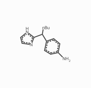 CCCCC(c1ccc(N)cc1)c1ncc[nH]1